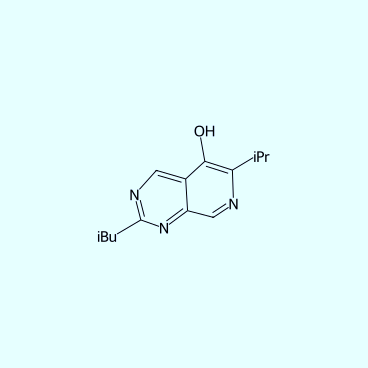 CCC(C)c1ncc2c(O)c(C(C)C)ncc2n1